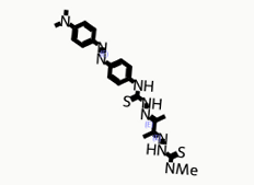 CNC(=S)N/N=C(C)/C(C)=N/NC(=S)Nc1ccc(/N=N/c2ccc(N(C)C)cc2)cc1